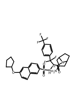 NC1CC2CCC(C1)N2C(=O)[C@@H](NS(=O)(=O)c1ccc2cc(OC3CCCC3)ccc2c1)C(F)(F)c1ccc(C(F)(F)F)cc1